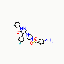 Nc1ccc(CS(=O)(=O)N2CCN(c3cnn(-c4cc(F)cc(F)c4)c(=O)c3-c3ccc(F)cc3)CC2)cc1